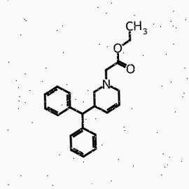 CCOC(=O)CN1CC=CC(C(c2ccccc2)c2ccccc2)C1